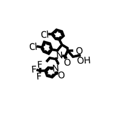 CCC(Cn1cc(C(F)(F)F)ccc1=O)N1C(=O)C(C)(CC(=O)O)CC(c2cccc(Cl)c2)C1c1ccc(Cl)cc1